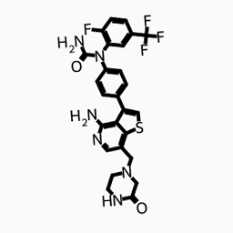 NC(=O)N(c1ccc(-c2csc3c(CN4CCNC(=O)C4)cnc(N)c23)cc1)c1cc(C(F)(F)F)ccc1F